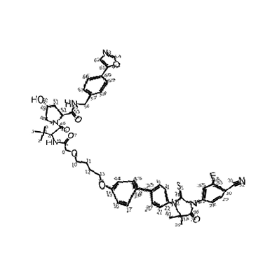 CC(C)(C)C(NC(=O)COCCCCOc1ccc(-c2ccc(N3C(=S)N(c4ccc(C#N)c(F)c4)C(=O)C3(C)C)cc2)cc1)C(=O)N1C[C@H](O)C[C@H]1C(=O)NCc1ccc(-c2cnco2)cc1